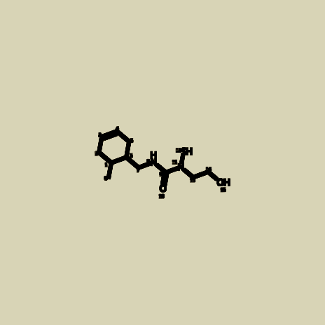 CC1CC=CCC1CNC(=O)N(S)CCO